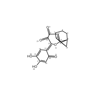 O=C1C=C(C23CCCC4C2C43)O/C(=C2/C=C(O)C(O)=CC2=O)C1=O